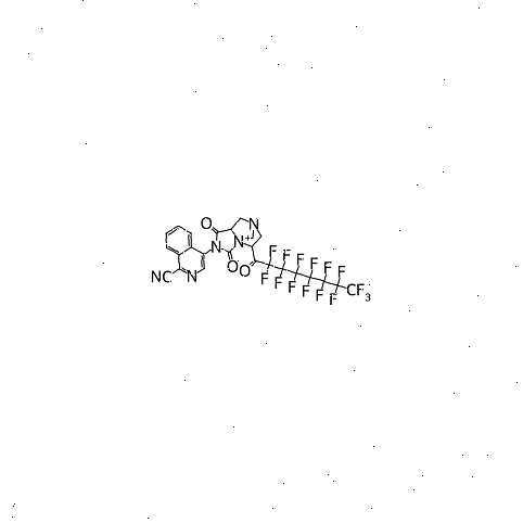 N#Cc1ncc(N2C(=O)C3CN4CC(C(=O)C(F)(F)C(F)(F)C(F)(F)C(F)(F)C(F)(F)C(F)(F)C(F)(F)F)[N+]3(C4)C2=O)c2ccccc12